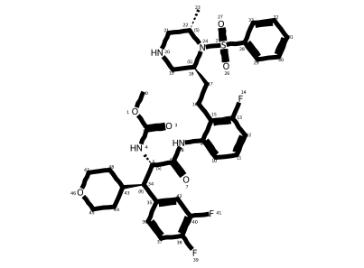 COC(=O)N[C@H](C(=O)Nc1cccc(F)c1CC[C@H]1CNC[C@H](C)N1S(=O)(=O)c1ccccc1)[C@@H](c1ccc(F)c(F)c1)C1CCOCC1